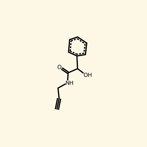 C#CCNC(=O)C(O)c1ccccc1